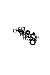 O=C1CCCCCc2oc(=O)c(C(c3cccc(NS(=O)(=O)c4cc(Cl)sc4Cl)c3)C3CC3)c(O)c21